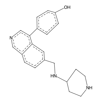 Oc1ccc(-c2cncc3ccc(CNC4CCNCC4)cc23)cc1